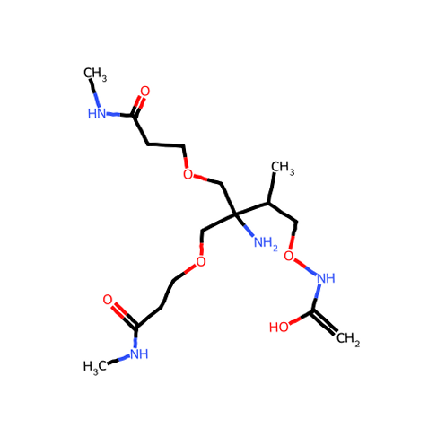 C=C(O)NOCC(C)C(N)(COCCC(=O)NC)COCCC(=O)NC